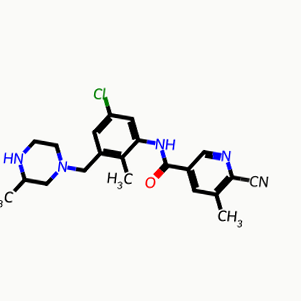 Cc1cc(C(=O)Nc2cc(Cl)cc(CN3CCNC(C)C3)c2C)cnc1C#N